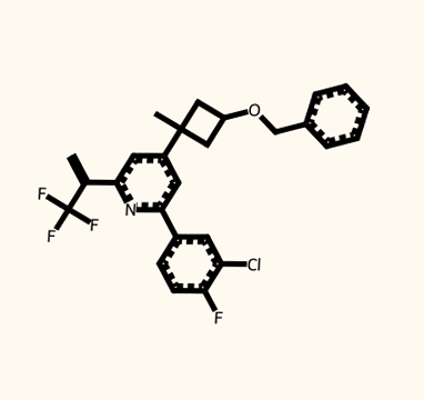 C=C(c1cc(C2(C)CC(OCc3ccccc3)C2)cc(-c2ccc(F)c(Cl)c2)n1)C(F)(F)F